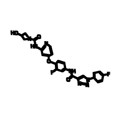 O=C(Nc1ccc(Oc2ccnc(NC(=O)N3CC(O)C3)c2)c(F)c1)c1cn(-c2ccc(F)cc2)nn1